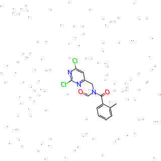 Cc1ccccc1C(=O)N(C=O)Cc1cc(Cl)nc(Cl)n1